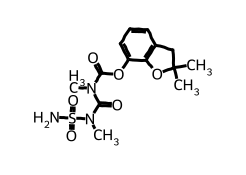 CN(C(=O)Oc1cccc2c1OC(C)(C)C2)C(=O)N(C)S(N)(=O)=O